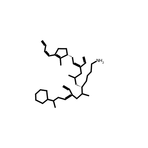 C=C/C=C\C1=C(C)[C@@H](C/C=C(\C=C)CC(C)C[C@H](CCCCN)C(C)C/C(C=C)=C/CC(C)C2CCCCC2)CC1